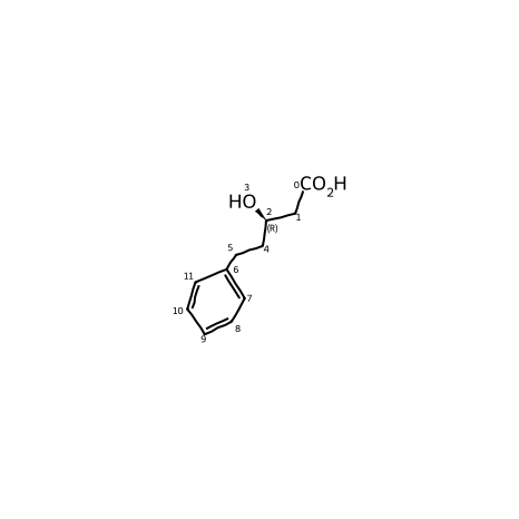 O=C(O)C[C@H](O)CCc1ccccc1